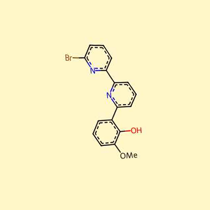 COc1cccc(-c2cccc(-c3cccc(Br)n3)n2)c1O